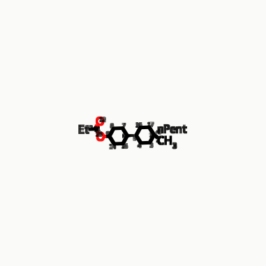 CCCCC[C@]1(C)CC[C@@H](C2CCC(OC(=O)CC)CC2)CC1